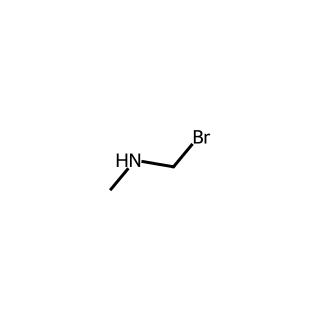 CNCBr